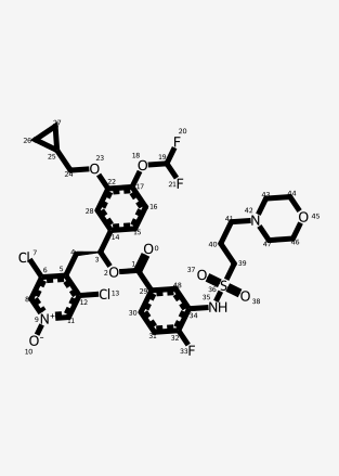 O=C(O[C@@H](Cc1c(Cl)c[n+]([O-])cc1Cl)c1ccc(OC(F)F)c(OCC2CC2)c1)c1ccc(F)c(NS(=O)(=O)CCCN2CCOCC2)c1